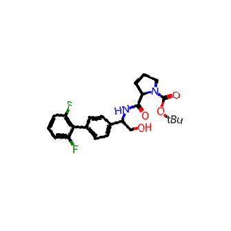 CC(C)(C)OC(=O)N1CCCC1C(=O)NC(CO)c1ccc(-c2c(F)cccc2F)cc1